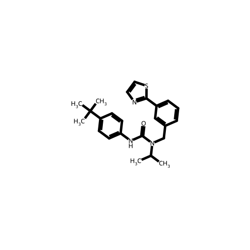 CC(C)N(Cc1cccc(-c2nccs2)c1)C(=O)Nc1ccc(C(C)(C)C)cc1